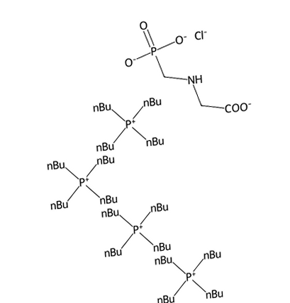 CCCC[P+](CCCC)(CCCC)CCCC.CCCC[P+](CCCC)(CCCC)CCCC.CCCC[P+](CCCC)(CCCC)CCCC.CCCC[P+](CCCC)(CCCC)CCCC.O=C([O-])CNCP(=O)([O-])[O-].[Cl-]